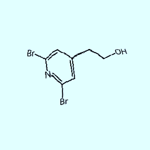 OCCc1cc(Br)nc(Br)c1